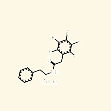 O=C(Cc1c(F)c(F)c(F)c(F)c1F)N[C@@H](Cc1ccccc1)C(=O)O